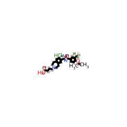 CC(C)Oc1ccc(-c2nc(-c3ccc4c(c3)CCN(CCCC(=O)O)CC4)no2)cc1C(F)(F)F.Cl